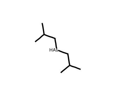 CC(C)C[AsH]CC(C)C